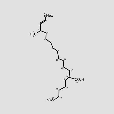 CCCCCCC=CC(C)CCCCCCCCCC(CCCCCCCCCCCCCC)C(=O)O